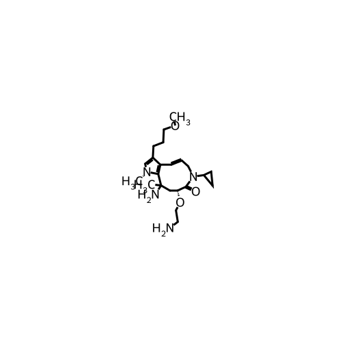 COCCCc1cn(C)c2c1/C=C/CN(C1CC1)C(=O)[C@H](OCCN)CC2(C)N